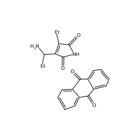 CCC1=C(C(N)CC)C(=O)NC1=O.O=C1c2ccccc2C(=O)c2ccccc21